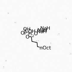 CCCCCCCCCCCCOP(=O)(O)O.O.[NaH].[NaH].[NaH]